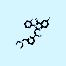 CCN(CC)Cc1cccc(/C(O)=C/c2nc3ccc(F)cc3c(=O)n2-c2ccccc2Cl)n1